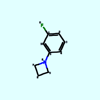 Fc1cc[c]c(N2CCC2)c1